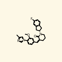 COc1cc(C=C2CCCN([C@H]3Cc4ccc(F)cc4C3)C2=O)ccc1-n1cnc(C)c1